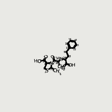 CC1SCC(C(=O)O)N1C(=O)[C@H](C)NC(CCc1ccccc1)C(=O)O